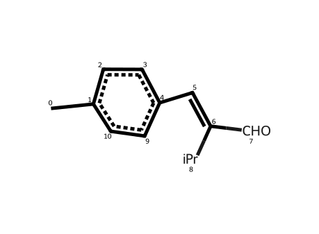 Cc1ccc(C=C(C=O)C(C)C)cc1